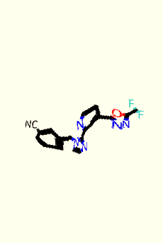 N#Cc1cccc(Cn2ccnc2-c2cc(-c3nnc(C(F)F)o3)ccn2)c1